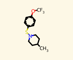 CC1CCN(Sc2ccc(OC(F)(F)F)cc2)CC1